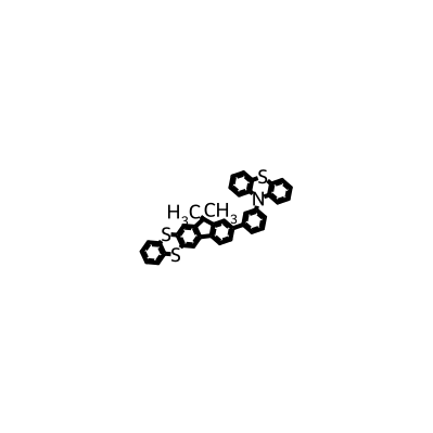 CC1(C)c2cc(-c3cccc(N4c5ccccc5Sc5ccccc54)c3)ccc2-c2cc3c(cc21)Sc1ccccc1S3